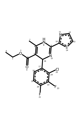 CCOC(=O)C1=C(C)NC(c2nccs2)=NC1c1ccc(F)c(F)c1Cl